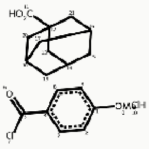 COc1ccc(C(=O)Cl)cc1.Cl.O=C(O)C12CC3CC(CC(C3)C1)C2